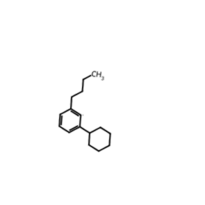 CCCCc1[c]c(C2CCCCC2)ccc1